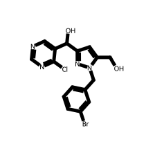 OCc1cc(C(O)c2cncnc2Cl)nn1Cc1cccc(Br)c1